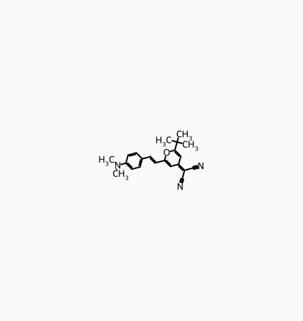 CN(C)c1ccc(/C=C/C2=CC(=C(C#N)C#N)C=C(C(C)(C)C)O2)cc1